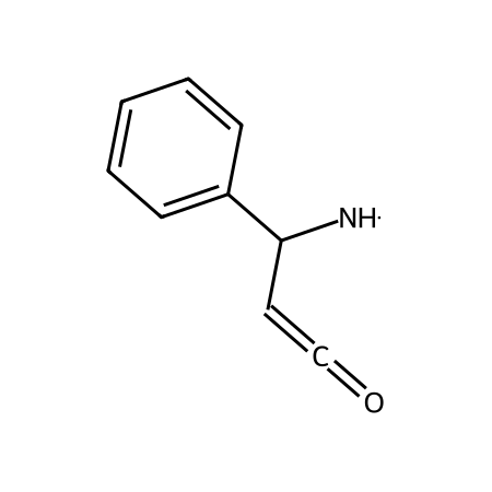 [NH]C(C=C=O)c1ccccc1